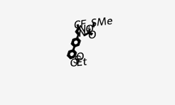 CCS(=O)(=O)c1cccc(-c2ccc(-c3cc(C(F)(F)F)nn3CC(=O)OCSC)cc2)c1